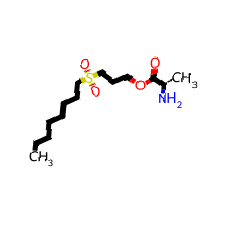 CCCCCCCCS(=O)(=O)CCCOC(=O)[C@H](C)N